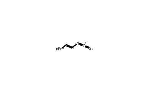 CCC/C=C/N=C=S